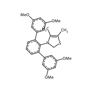 COc1cc(OC)cc(-c2cccc(-c3cc(OC)cc(OC)c3)c2N2CSC(C)=C2C)c1